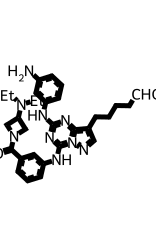 CCN(CC)C1CN(C(=O)c2cccc(Nc3nc(Nc4cccc(N)c4)nc4c(CCCCC=O)cnn34)c2)C1